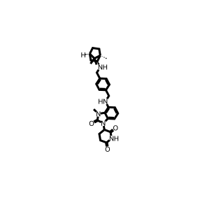 Cn1c(=O)n(C2CCC(=O)NC2=O)c2cccc(NCc3ccc(CN[C@H]4C[C@H]5CC[C@]4(C)C5(C)C)cc3)c21